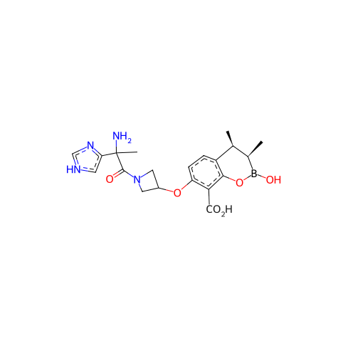 C[C@@H]1c2ccc(OC3CN(C(=O)C(C)(N)c4c[nH]cn4)C3)c(C(=O)O)c2OB(O)[C@@H]1C